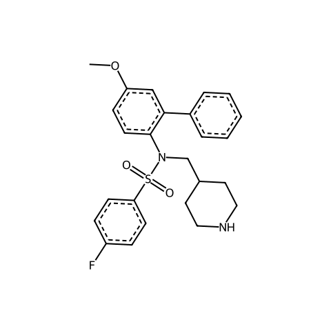 COc1ccc(N(CC2CCNCC2)S(=O)(=O)c2ccc(F)cc2)c(-c2ccccc2)c1